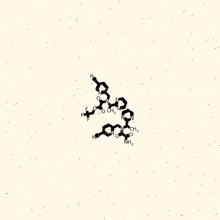 CC(c1ncccn1)N(Cc1ccc(C#N)cn1)C(=O)C(=O)OCC(F)(F)F.CC(c1ncccn1)N(Cc1ccc(C#N)cn1)C(=O)C(N)=O